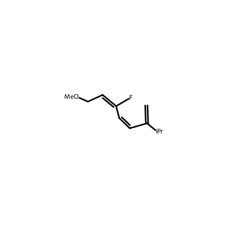 C=C(/C=C\C(F)=C/COC)C(C)C